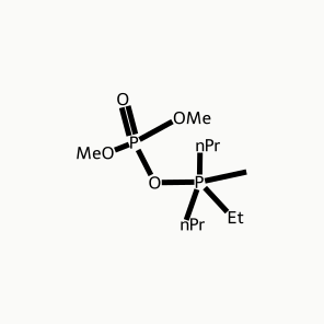 CCCP(C)(CC)(CCC)OP(=O)(OC)OC